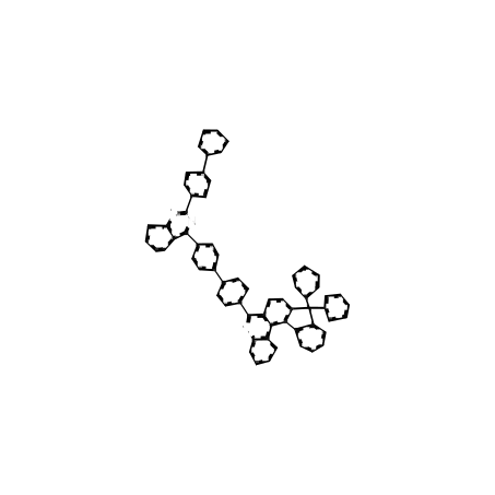 c1ccc(-c2ccc(-c3nc(-c4ccc(-c5ccc(-c6nc7ccccc7c7c8c(ccc67)C(c6ccccc6)(c6ccccc6)c6ccccc6-8)cc5)cc4)c4ccccc4n3)cc2)cc1